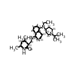 CCN(c1cccc2c(NCc3c(C)cc(C)[nH]c3=O)nccc12)C1CCN(C(C)C)CC1